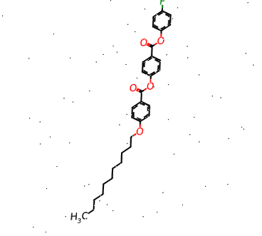 CCCCCCCCCCCOc1ccc(C(=O)Oc2ccc(C(=O)Oc3ccc(F)cc3)cc2)cc1